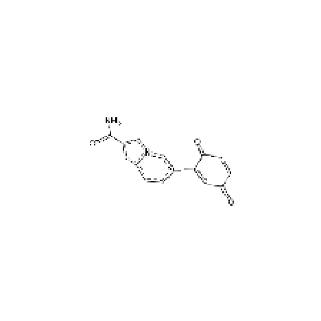 NC(=O)c1cc2ccc(C3=CC(=O)C=CC3=O)cn2c1